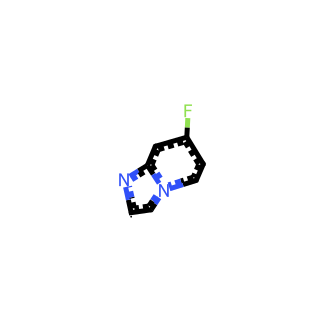 Fc1ccn2c[c]nc2c1